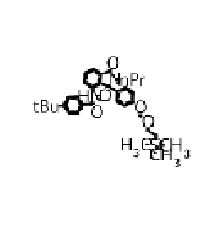 CCCN1C(=O)c2ccccc2C1(ONC(=O)c1ccc(C(C)(C)C)cc1)c1ccc(OCOCC[Si](C)(C)C)cc1